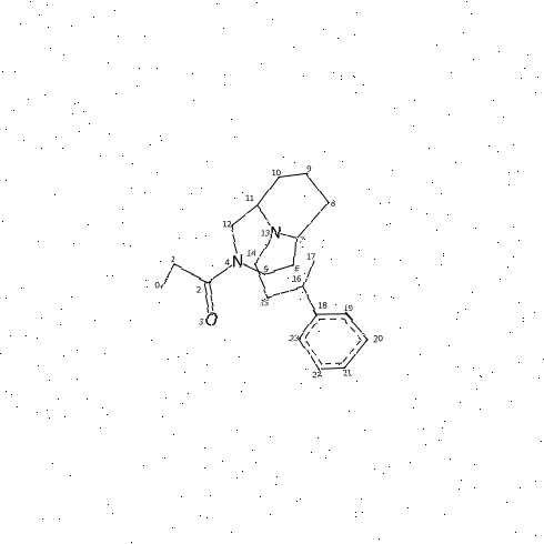 CCC(=O)N1CCC2CCCC(C1)N2CCC(C)c1ccccc1